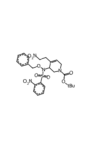 CC(C)(C)OC(=O)N1CC=C(CC[N+](=O)[O-])C(N(OCc2ccccc2)S(=O)(=O)c2ccccc2[N+](=O)[O-])C1